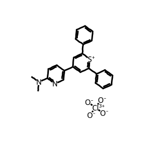 CN(C)c1ccc(-c2cc(-c3ccccc3)[s+]c(-c3ccccc3)c2)cn1.[O-][Cl+3]([O-])([O-])[O-]